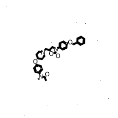 CC(=O)N(C)c1ccc(OC2CCN(CC3CN(c4ccc(OCc5ccccc5)cc4)C(=O)O3)CC2)cc1